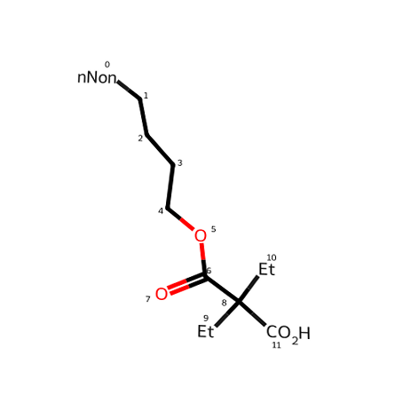 CCCCCCCCCCCCCOC(=O)C(CC)(CC)C(=O)O